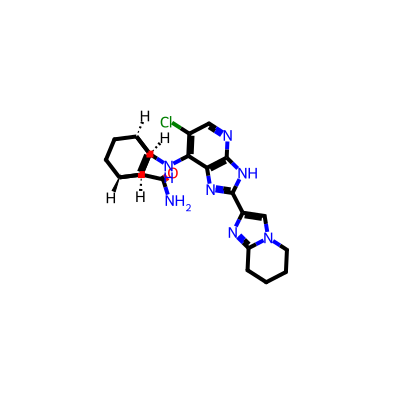 NC(=O)[C@@H]1[C@H](Nc2c(Cl)cnc3[nH]c(-c4cn5c(n4)CCCC5)nc23)[C@H]2C=C[C@@H]1CC2